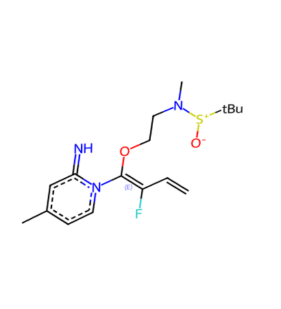 C=C/C(F)=C(\OCCN(C)[S+]([O-])C(C)(C)C)n1ccc(C)cc1=N